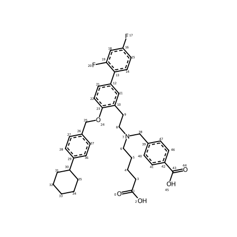 O=C(O)CCCCN(CCc1cc(-c2ccc(F)cc2F)ccc1OCc1ccc(C2CCCCC2)cc1)Cc1ccc(C(=O)O)cc1